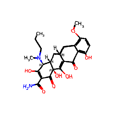 CCCN(C)[C@@H]1C(O)=C(C(N)=O)C(=O)[C@@]2(O)C(O)=C3C(=O)c4c(O)ccc(OC)c4C[C@H]3C[C@@H]12